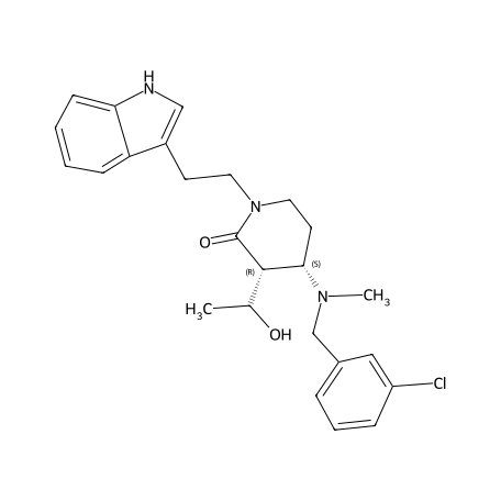 CC(O)[C@@H]1C(=O)N(CCc2c[nH]c3ccccc23)CC[C@@H]1N(C)Cc1cccc(Cl)c1